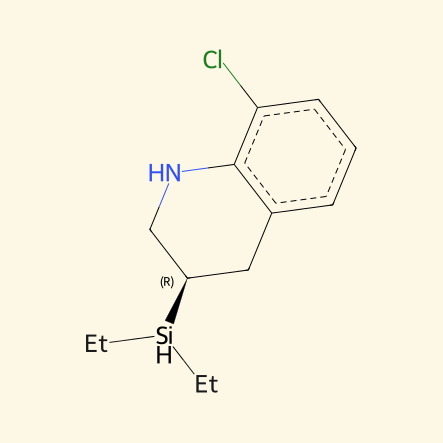 CC[SiH](CC)[C@H]1CNc2c(Cl)cccc2C1